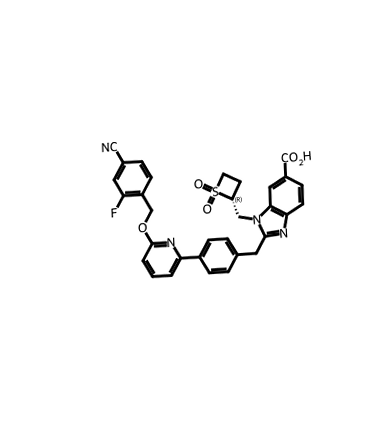 N#Cc1ccc(COc2cccc(-c3ccc(Cc4nc5ccc(C(=O)O)cc5n4C[C@H]4CCS4(=O)=O)cc3)n2)c(F)c1